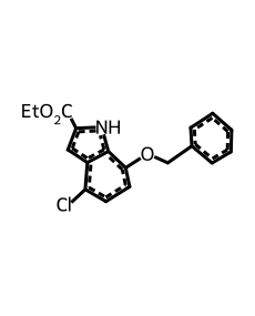 CCOC(=O)c1cc2c(Cl)ccc(OCc3ccccc3)c2[nH]1